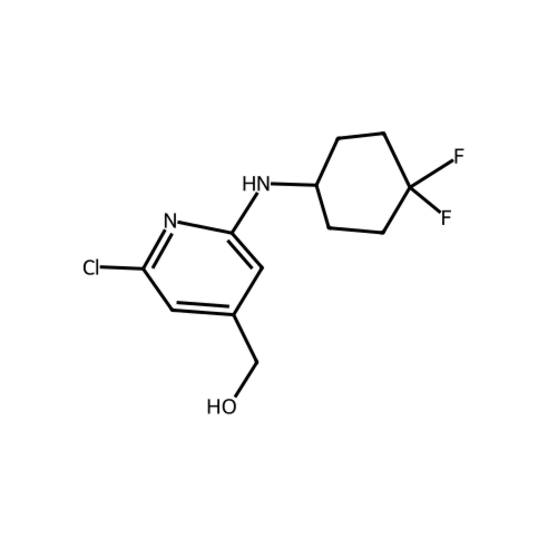 OCc1cc(Cl)nc(NC2CCC(F)(F)CC2)c1